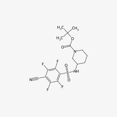 CC(C)(C)OC(=O)N1CCCC(NS(=O)(=O)c2c(F)c(F)c(C#N)c(F)c2F)C1